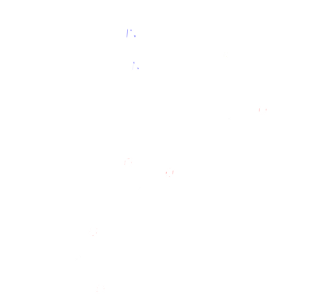 CC(=O)OCC(=O)OC1=CC(=O)C2=C(C1)C1=NNCC1CS2